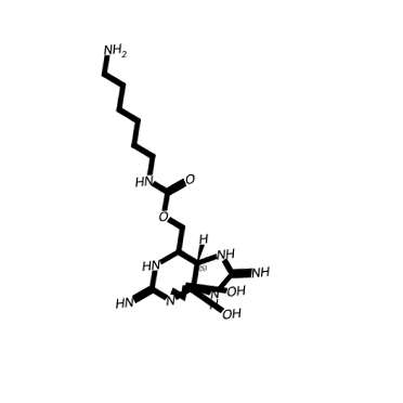 N=C1N[C@H]2C(COC(=O)NCCCCCCN)NC(=N)N3CCC(O)(O)C23N1